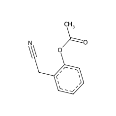 CC(=O)Oc1ccccc1CC#N